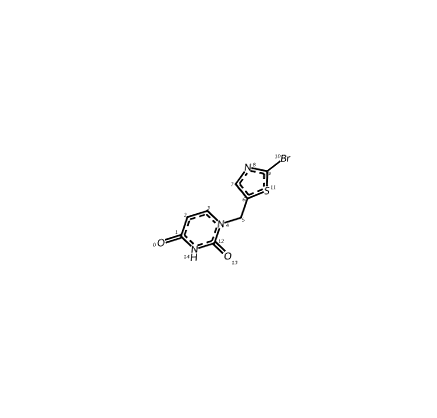 O=c1ccn(Cc2cnc(Br)s2)c(=O)[nH]1